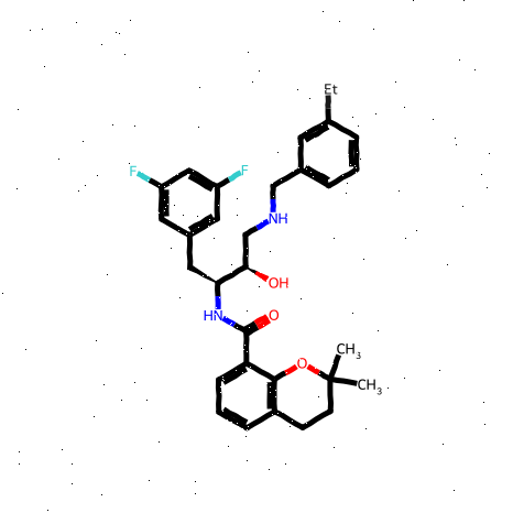 CCc1cccc(CNC[C@@H](O)[C@H](Cc2cc(F)cc(F)c2)NC(=O)c2cccc3c2OC(C)(C)CC3)c1